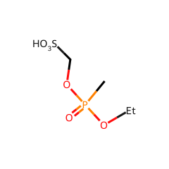 CCOP(C)(=O)OCS(=O)(=O)O